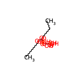 CCCCCC/C=C\CCCCCCCC(=O)O[C@H](COC(=O)CCCCCCCCCCCCCCC)COP(=O)(O)OC[C@@H](O)COP(=O)(O)O